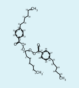 [CH2]CCCCC[C](OOC(=O)c1ccc(CCCCCC)cc1)OOC(=O)c1ccc(CCCCCC)cc1